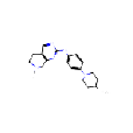 COC1CCN(c2ccc(Nc3ncc4c(n3)CN(C(=O)O)CC4)cc2)CC1